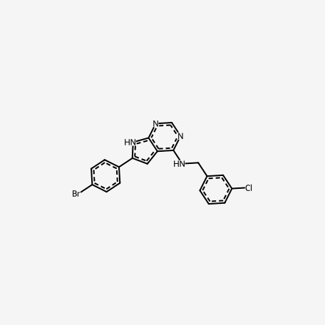 Clc1cccc(CNc2ncnc3[nH]c(-c4ccc(Br)cc4)cc23)c1